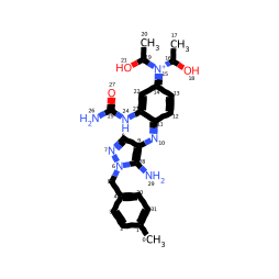 Cc1ccc(Cn2ncc(/N=C3/C=CC(=[N+](C(C)O)C(C)O)C=C3NC(N)=O)c2N)cc1